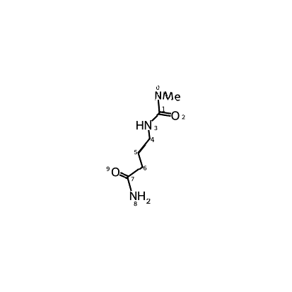 CNC(=O)NCCCC(N)=O